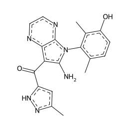 Cc1cc(C(=O)c2c(N)n(-c3c(C)ccc(O)c3C)c3nccnc23)[nH]n1